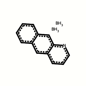 B.B.c1ccc2cc3ncccc3cc2c1